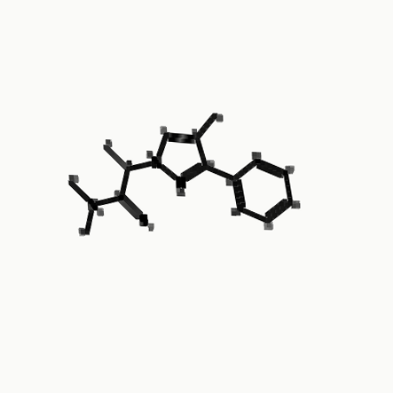 Cc1cn(C(C)C(=S)N(C)C)nc1-c1ccccc1